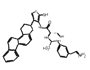 CC(C)C[C@H](NC(Nc1cccc(CN)c1)S(=O)(=O)O)C(=O)Nc1c(C2CCc3c(ccc4c3ccc3ccccc34)C2)coc1O